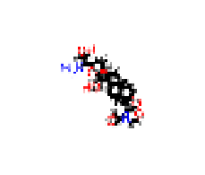 C[C@@H]1C[C@H]([C@H](N)C(C)(C)O)O[C@H]2[C@H]1[C@@]1(C)CC[C@@]34CC35CCC(O[C@H]3CN(C6COC6)CCO3)C(C)(C)[C@@H]5CC[C@H]4[C@]1(C)[C@H]2O